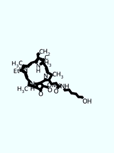 C=Cc1c2[nH]c(c1C)C=C1N=C(C3=C4NC(C=c5[nH]c(c(C)c5CC)=C2)C(C)=C4C(=O)C3C(=O)OC)C(CCC(=O)NCCCCCCO)C1C